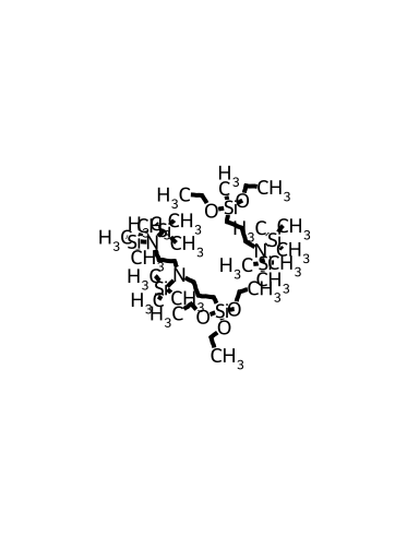 CCO[Si](C)(CCCN([Si](C)(C)C)[Si](C)(C)C)OCC.CCO[Si](CCCN(CCN([Si](C)(C)C)[Si](C)(C)C)[Si](C)(C)C)(OCC)OCC